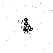 FC(F)(F)c1ccc(Nc2nc(Cc3ncc[nH]3)nc3cc(-c4ncccc4C(F)(F)F)ccc23)cn1